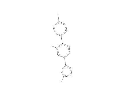 Cc1nnc(-c2ccc(-c3ccc(N=O)nn3)c(O)c2)o1